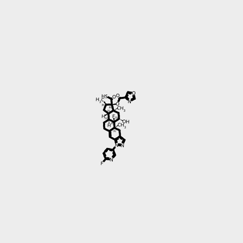 C[C@@H]1C[C@H]2[C@@H]3CCC4=Cc5c(cnn5-c5ccc(F)nc5)C[C@]4(C)[C@@]3(F)[C@@H](O)C[C@]2(C)[C@@]1(OC(=O)c1cocn1)C(=O)S